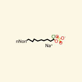 CCCCCCCCCCCCCCCCCC(Cl)OS(=O)(=O)[O-].[Na+]